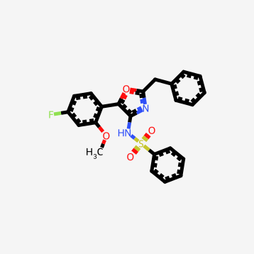 COc1cc(F)ccc1-c1oc(Cc2ccccc2)nc1NS(=O)(=O)c1ccccc1